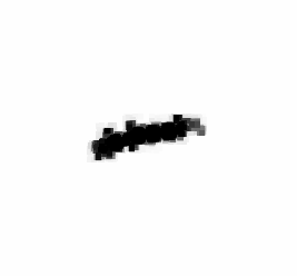 C/C(F)=C(\F)c1ccc(C2CCC(c3cc(F)c(CCc4cc(F)c(OC(F)(F)F)c(F)c4)c(F)c3)CC2)cc1